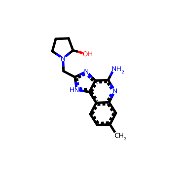 Cc1ccc2c(c1)nc(N)c1nc(CN3CCCC3O)[nH]c12